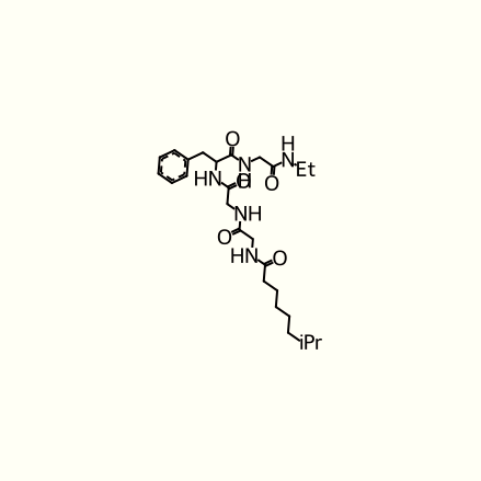 CCNC(=O)CNC(=O)C(Cc1ccccc1)NC(=O)CNC(=O)CNC(=O)CCCCCC(C)C